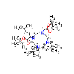 CC(C)CC[C@H](C(=O)OC(C)(C)C)N1CCN(CC(=O)OC(C)(C)C)CCN(CC(C)(C)C)CCN(CC(C)(C)C)CC1